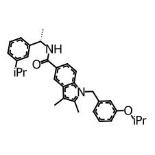 Cc1c(C)n(Cc2cccc(OC(C)C)c2)c2ccc(C(=O)N[C@@H](C)c3cccc(C(C)C)c3)cc12